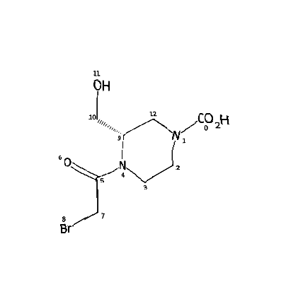 O=C(O)N1CCN(C(=O)CBr)[C@H](CO)C1